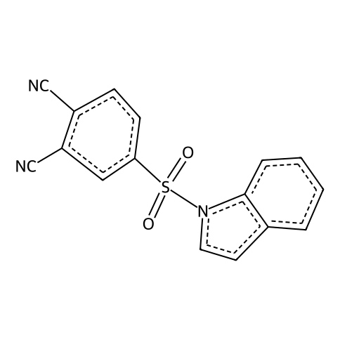 N#Cc1ccc(S(=O)(=O)n2ccc3ccccc32)cc1C#N